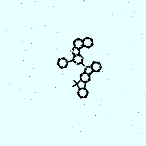 CC1(C)c2ccccc2-c2cc3c4ccccc4n(-c4nc(-c5ccccc5)c5oc6ccc7ccccc7c6c5n4)c3cc21